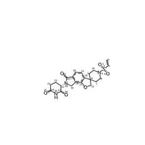 C=CS(=O)(=O)N1CCC2(CC1)COc1c2ccc2c1CN([C@H]1CCC(=O)NC1=O)C2=O